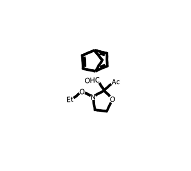 C1=CC2=CC=C1C2.CCON1CCOC1(C=O)C(C)=O